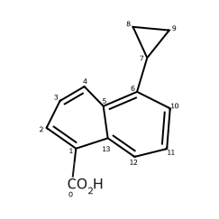 O=C(O)c1cccc2c(C3CC3)cccc12